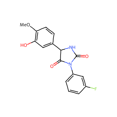 COc1ccc(C2NC(=O)N(c3cccc(F)c3)C2=O)cc1O